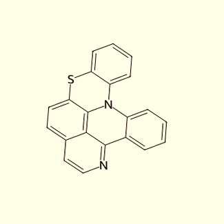 c1ccc2c(c1)sc1ccc3ccnc4c5ccccc5n2-c1c34